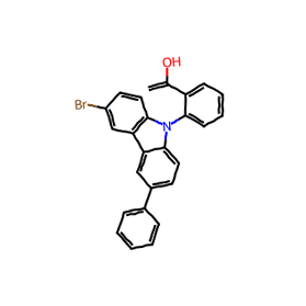 C=C(O)c1ccccc1-n1c2ccc(Br)cc2c2cc(-c3ccccc3)ccc21